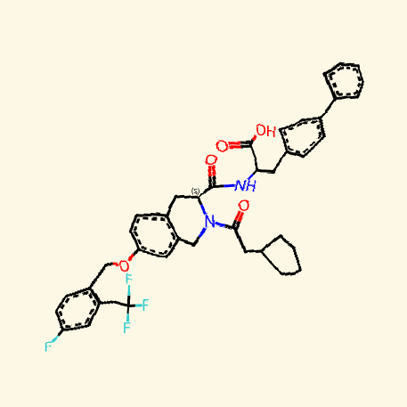 O=C(O)C(Cc1ccc(-c2ccccc2)cc1)NC(=O)[C@@H]1Cc2ccc(OCc3ccc(F)cc3C(F)(F)F)cc2CN1C(=O)CC1CCCC1